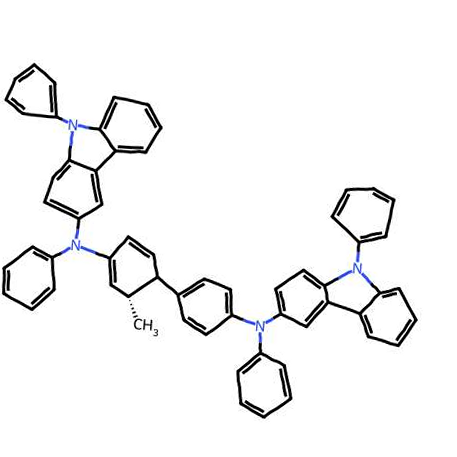 C[C@@H]1C=C(N(c2ccccc2)c2ccc3c(c2)c2ccccc2n3-c2ccccc2)C=CC1c1ccc(N(c2ccccc2)c2ccc3c(c2)c2ccccc2n3-c2ccccc2)cc1